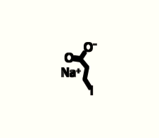 O=C([O-])CCI.[Na+]